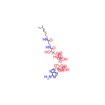 CCC(C)C=CSCCNC(=O)CCNC(=O)C(O)C(C)(C)COP(=O)(O)OP(=O)(O)OC[C@H]1O[C@@H](n2cnc3c(N)ncnc32)[C@H](O)[C@@H]1OP(=O)(O)O